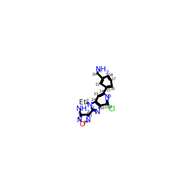 CCn1c(-c2nonc2N)nc2c(Cl)nc(-c3cccc(CN)c3)cc21